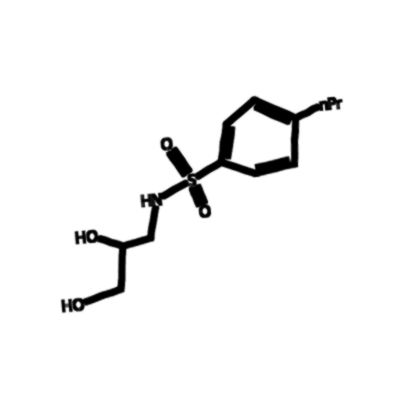 CCCc1ccc(S(=O)(=O)NCC(O)CO)cc1